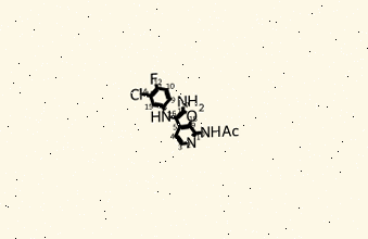 CC(=O)Nc1nccc2c(Nc3ccc(F)c(Cl)c3)c(N)oc12